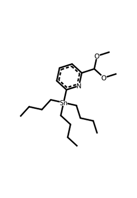 CCC[CH2][Sn]([CH2]CCC)([CH2]CCC)[c]1cccc(C(OC)OC)n1